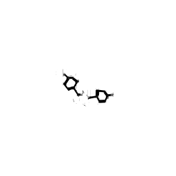 O=C(NC(=O)c1ccc(Cl)cc1)c1ccc(Cl)cc1